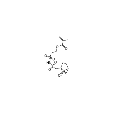 C=C(C)C(=O)OCCS(=O)(=O)NS(=O)(=O)CC12CCC(CC1=O)C2(C)C